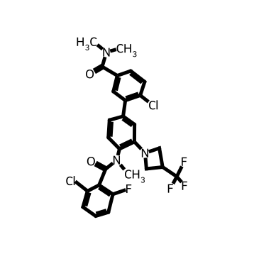 CN(C)C(=O)c1ccc(Cl)c(-c2ccc(N(C)C(=O)c3c(F)cccc3Cl)c(N3CC(C(F)(F)F)C3)c2)c1